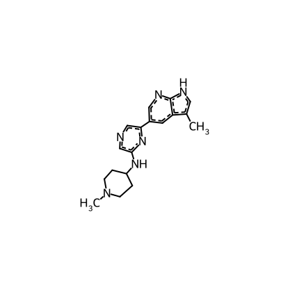 Cc1c[nH]c2ncc(-c3cncc(NC4CCN(C)CC4)n3)cc12